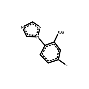 CC(C)(C)c1cc(F)ccc1-n1cncn1